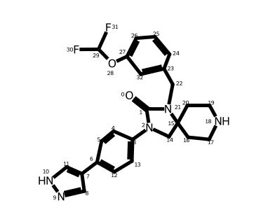 O=C1N(c2ccc(-c3cn[nH]c3)cc2)CC2(CCNCC2)N1Cc1cccc(OC(F)F)c1